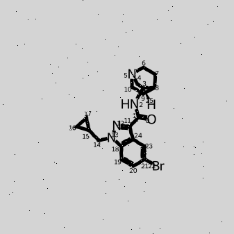 O=C(N[C@@H]1CN2CCC1CC2)c1nn(CC2CC2)c2ccc(Br)cc12